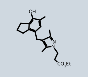 CCOC(=O)CCn1nc(C)c(Cc2cc(C)c(O)c3c2CCC3)c1C